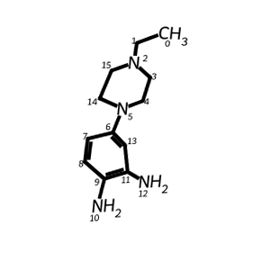 CCN1CCN(c2ccc(N)c(N)c2)CC1